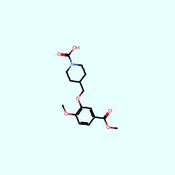 COC(=O)c1ccc(OC)c(OCC2CCN(C(=O)O)CC2)c1